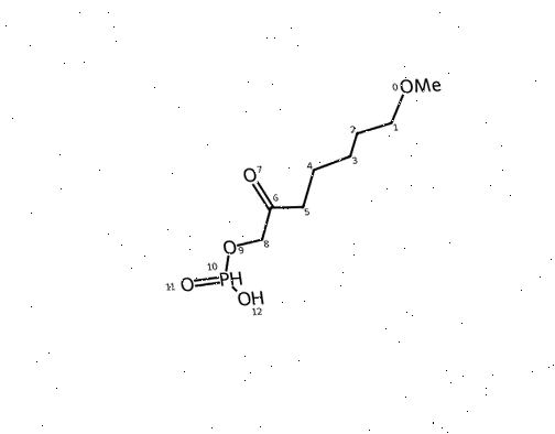 COCCCCCC(=O)CO[PH](=O)O